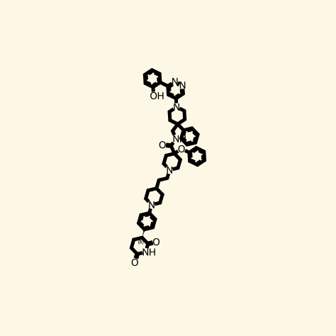 O=C1CC[C@H](c2ccc(N3CCC(CCN4CCC(Oc5ccccc5)(C(=O)NCC5(c6ccccc6)CCN(c6cnnc(-c7ccccc7O)c6)CC5)CC4)CC3)cc2)C(=O)N1